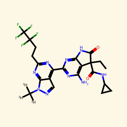 [2H]C([2H])([2H])n1ncc2c(-c3nc(N)c4c(n3)NC(=O)C4(CC)C(=O)NC3CC3)nc(CCC(F)(F)C(F)(F)F)nc21